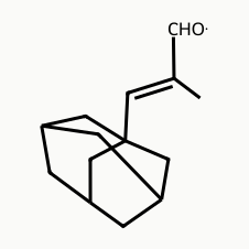 CC([C]=O)=CC12CC3CC(CC(C3)C1)C2